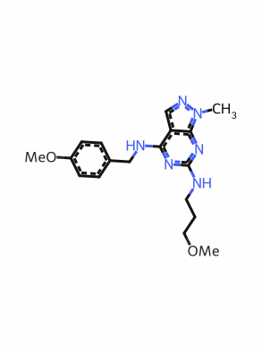 COCCCNc1nc(NCc2ccc(OC)cc2)c2cnn(C)c2n1